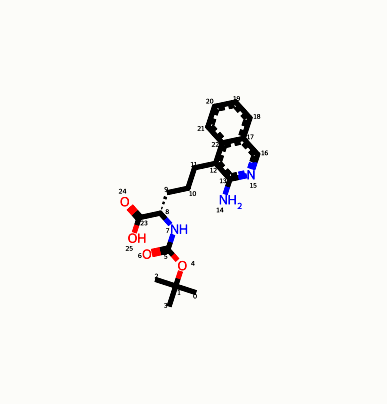 CC(C)(C)OC(=O)N[C@@H](CCCc1c(N)ncc2ccccc12)C(=O)O